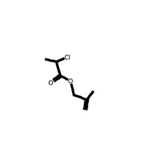 C=C(C)COC(=O)C(C)Cl